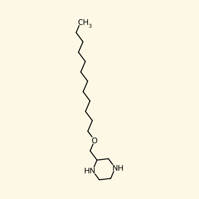 CCCCCCCCCCCCOCC1CNCCN1